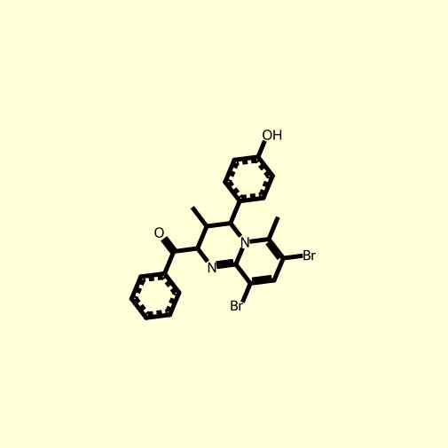 CC1=C(Br)C=C(Br)C2=NC(C(=O)c3ccccc3)C(C)C(c3ccc(O)cc3)N21